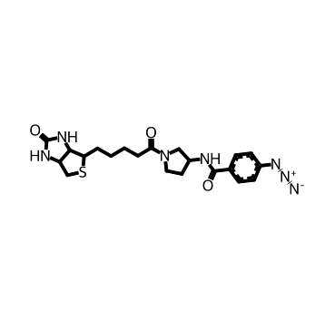 [N-]=[N+]=Nc1ccc(C(=O)NC2CCN(C(=O)CCCCC3SCC4NC(=O)NC43)C2)cc1